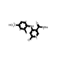 CNC(=O)c1cnc(Cl)cc1Nc1ccc(C(=O)O)cc1C